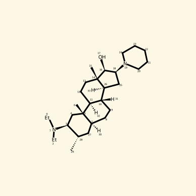 CCN(CC)[C@H]1C[C@@]2(C)[C@@H](CC[C@@H]3[C@@H]2CC[C@]2(C)[C@@H](O)[C@@H](N4CCCCC4)C[C@@H]32)C[C@@H]1C